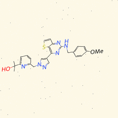 COc1ccc(CNc2nc(-c3cnn(Cc4cccc(C(C)(C)O)n4)c3)c3sccc3n2)cc1